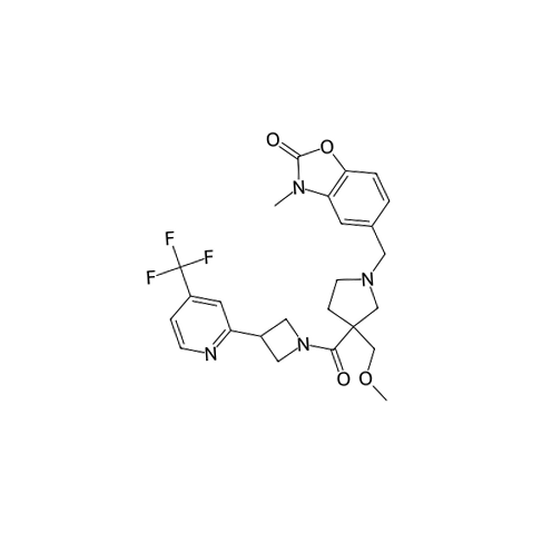 COCC1(C(=O)N2CC(c3cc(C(F)(F)F)ccn3)C2)CCN(Cc2ccc3oc(=O)n(C)c3c2)C1